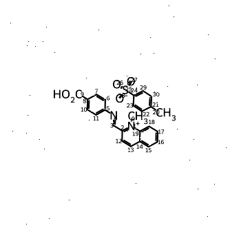 C[n+]1c(C=Nc2ccc(C(=O)O)cc2)ccc2ccccc21.Cc1ccc(S(=O)(=O)[O-])cc1